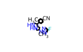 Cc1cc(C#N)ccc1/C(C=N)=C1\CC(N(C)c2ncc(F)cn2)CN1